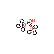 CC(C)(COC(c1ccccc1)(c1ccccc1)c1ccccc1)C(O)C(C)(C)COC(c1ccccc1)(c1ccccc1)c1ccccc1